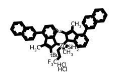 CC1=C(C(C)(C)C)[CH]([Zr]([CH3])(=[SiH2])([CH2]CC(F)(F)F)[CH]2C(C(C)(C)C)=C(C)c3c(-c4ccc5ccccc5c4)cccc32)c2cccc(-c3ccc4ccccc4c3)c21.Cl.Cl